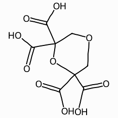 O=C(O)C1(C(=O)O)COCC(C(=O)O)(C(=O)O)O1